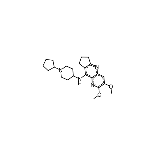 COc1cc2nc3c(c(NC4CCN(C5CCCC5)CC4)c2nc1OC)CCC3